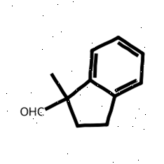 CC1(C=O)CCc2ccccc21